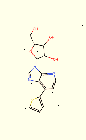 OC[C@H]1O[C@@H](n2cnc3c(-c4cccs4)ccnc32)C(O)C1O